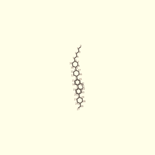 CCCCCCC1CCC(C2CCC(c3ccc(-c4ccc(C5CCC(CC)CC5)cc4F)c(F)c3)CC2)CC1